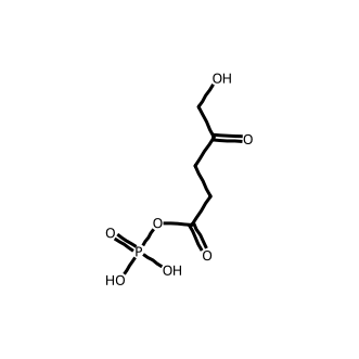 O=C(CO)CCC(=O)OP(=O)(O)O